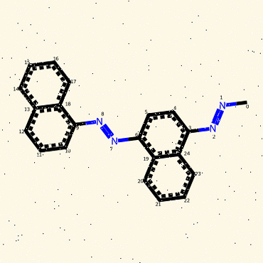 CN=Nc1ccc(N=Nc2cccc3ccccc23)c2ccccc12